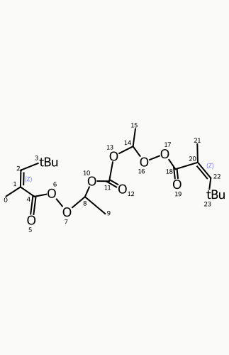 C/C(=C/C(C)(C)C)C(=O)OOC(C)OC(=O)OC(C)OOC(=O)/C(C)=C\C(C)(C)C